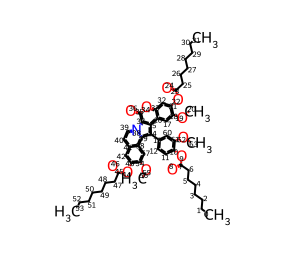 CCCCCCCC(=O)Oc1ccc(-c2c3c4cc(OC)c(OC(=O)CCCCCCC)cc4oc(=O)c3n3ccc4cc(OC(=O)CCCCCCC)c(OC)cc4c23)cc1OC